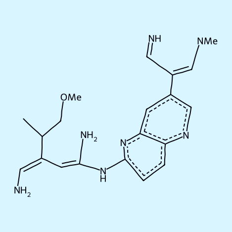 CN/C=C(\C=N)c1cnc2ccc(N/C(N)=C/C(=C\N)C(C)COC)nc2c1